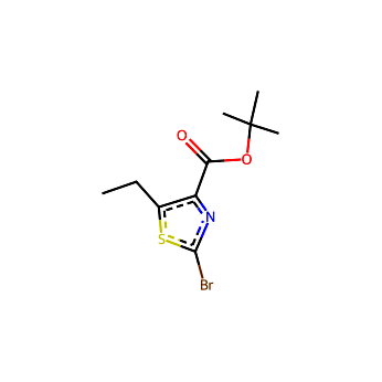 CCc1sc(Br)nc1C(=O)OC(C)(C)C